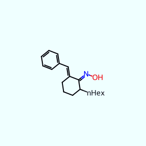 CCCCCCC1CCCC(=C\c2ccccc2)/C1=N/O